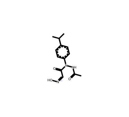 CC(=O)NN(C(=O)/C=N\O)c1ccc(C(C)C)cc1